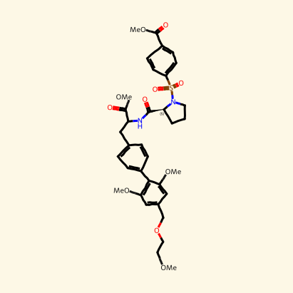 COCCOCc1cc(OC)c(-c2ccc(CC(NC(=O)[C@@H]3CCCN3S(=O)(=O)c3ccc(C(=O)OC)cc3)C(=O)OC)cc2)c(OC)c1